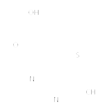 Cc1ncnc2c(C(=O)O)csc12